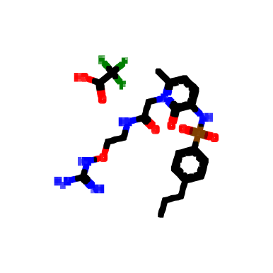 CCCc1ccc(S(=O)(=O)Nc2ccc(C)n(CC(=O)NCCONC(=N)N)c2=O)cc1.O=C(O)C(F)(F)F